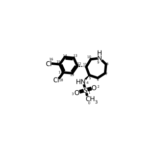 CS(=O)(=O)N[C@@H]1CCCNC[C@H]1c1ccc(Cl)c(Cl)c1